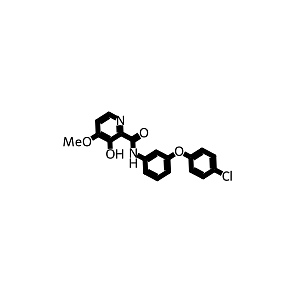 COc1ccnc(C(=O)Nc2cccc(Oc3ccc(Cl)cc3)c2)c1O